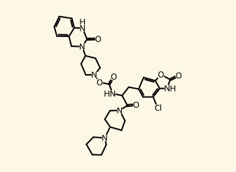 O=C(NC(Cc1cc(Cl)c2[nH]c(=O)oc2c1)C(=O)N1CCC(N2CCCCC2)CC1)ON1CCC(N2Cc3ccccc3NC2=O)CC1